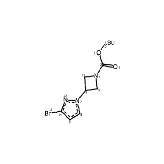 CC(C)(C)OC(=O)N1CC(n2ccc(Br)n2)C1